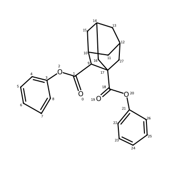 O=C(Oc1ccccc1)C1C2CC3CC(C2)CC1(C(=O)Oc1ccccc1)C3